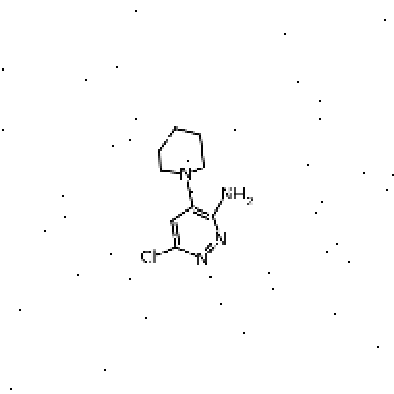 Nc1nnc(Cl)cc1N1CCCCC1